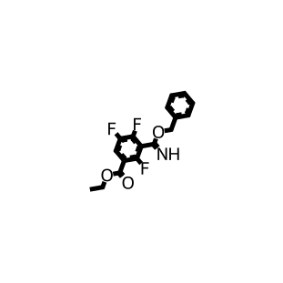 CCOC(=O)c1cc(F)c(F)c(C(=N)OCc2ccccc2)c1F